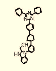 CCC1Nc2ccccc2N1c1cccc(-c2ccc(-c3ccc(-c4nc(-c5ccccc5)nc(-c5ccccc5)n4)cc3)cc2)c1